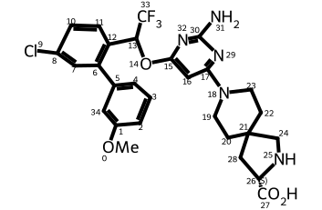 COc1cccc(-c2cc(Cl)ccc2C(Oc2cc(N3CCC4(CC3)CN[C@H](C(=O)O)C4)nc(N)n2)C(F)(F)F)c1